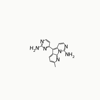 Cc1ccc2c(-c3ccnc(N)n3)c3ccnc(N)n3c2n1